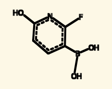 OB(O)c1ccc(O)nc1F